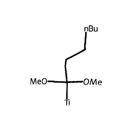 CCCCCC[C]([Ti])(OC)OC